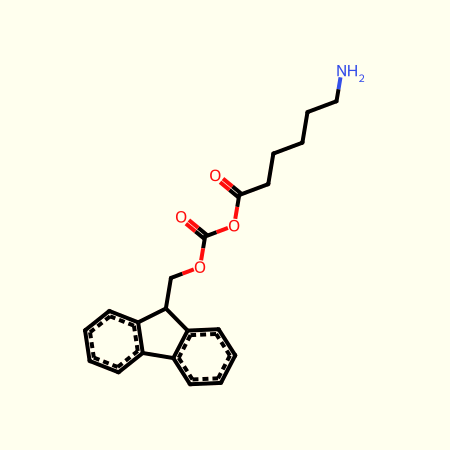 NCCCCCC(=O)OC(=O)OCC1c2ccccc2-c2ccccc21